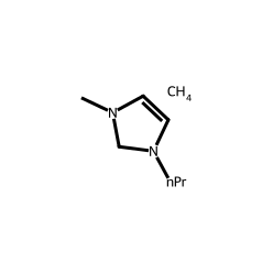 C.CCCN1C=CN(C)C1